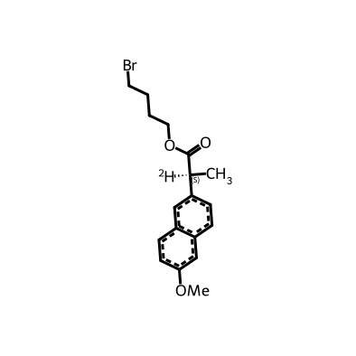 [2H][C@@](C)(C(=O)OCCCCBr)c1ccc2cc(OC)ccc2c1